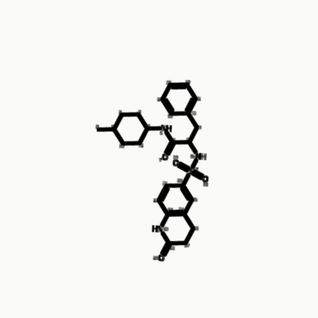 CC1CCC(NC(=O)C(Cc2ccccc2)NS(=O)(=O)c2ccc3c(c2)CCC(=O)N3)CC1